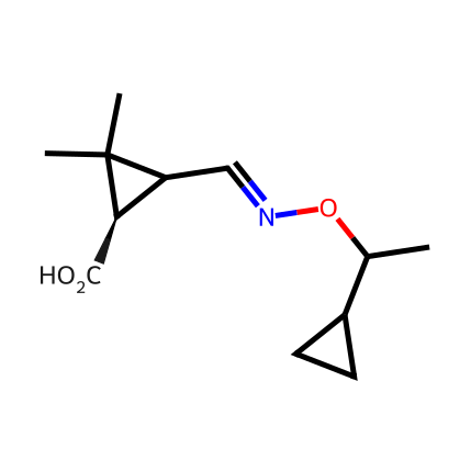 CC(O/N=C/C1[C@@H](C(=O)O)C1(C)C)C1CC1